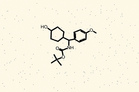 COc1ccc(C(NC(=O)OC(C)(C)C)C2CCC(O)CC2)cc1